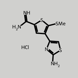 CSc1sc(C(=N)N)cc1-c1csc(N)n1.Cl